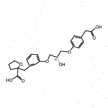 O=C(O)Cc1ccc(OC[C@H](O)COc2cccc(CC3(C(=O)O)CCCO3)c2)cc1